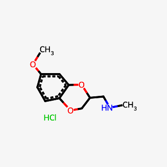 CNCC1COc2ccc(OC)cc2O1.Cl